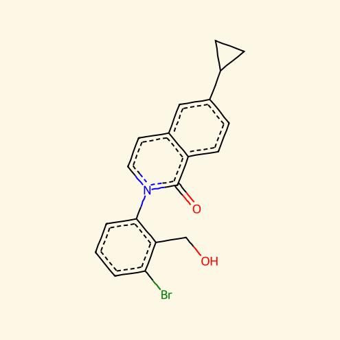 O=c1c2ccc(C3CC3)cc2ccn1-c1cccc(Br)c1CO